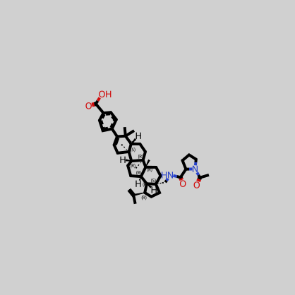 C=C(C)[C@@H]1CC[C@]2(CNC(=O)C3CCCN3C(C)=O)CC[C@]3(C)[C@H](CC[C@@H]4[C@@]5(C)CC=C(c6ccc(C(=O)O)cc6)C(C)(C)[C@@H]5CC[C@]43C)[C@@H]12